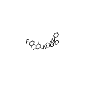 Cc1cc(F)ccc1-c1c(C)cc(CN2CCC3(CC2)CN(c2ccccc2)C(=O)O3)cc1C